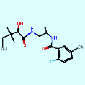 CC(CNC(=O)C(O)C(C)(C)CN=O)NC(=O)c1cc(C#N)ccc1F